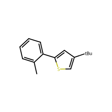 Cc1ccccc1-c1cc(C(C)(C)C)cs1